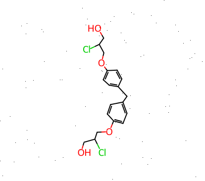 OCC(Cl)COc1ccc(Cc2ccc(OCC(Cl)CO)cc2)cc1